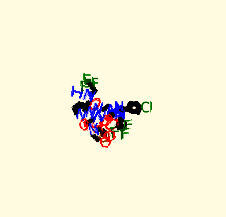 O=C(NCC(F)(F)F)c1cccnc1-n1nc(Cn2nc(-c3ccc(Cl)cc3)n(C[C@H](O)C(F)(F)F)c2=O)nc1C(=O)N1CCS(=O)(=O)CC1